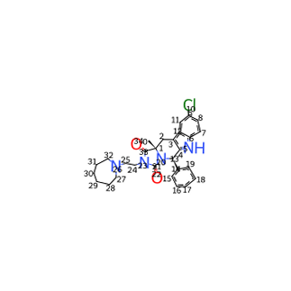 C[C@@]12Cc3c([nH]c4ccc(Cl)cc34)[C@@H](c3ccccc3)N1C(=O)N(CCN1CCCCCC1)C2=O